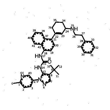 Cc1ccc(-n2ncc(C(C)(C)C)c2NC(=O)Nc2ccc(C3=CC(NCCc4ccccc4)CCC3)c3ccccc23)cn1